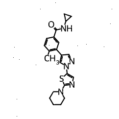 Cc1ccc(C(=O)NC2CC2)cc1-c1cnn(-c2cnc(N3CCCCC3)s2)c1